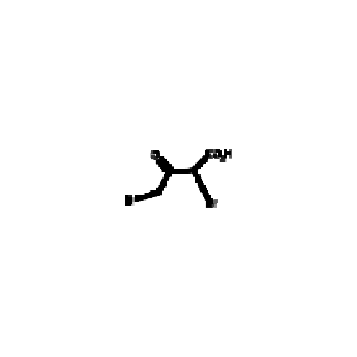 O=C(O)C(Br)C(=O)CBr